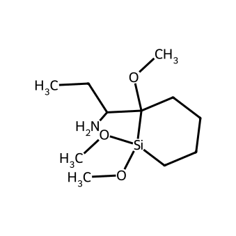 CCC(N)C1(OC)CCCC[Si]1(OC)OC